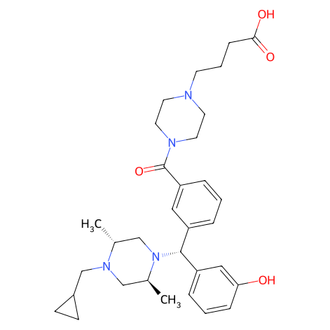 C[C@@H]1CN([C@@H](c2cccc(O)c2)c2cccc(C(=O)N3CCN(CCCC(=O)O)CC3)c2)[C@@H](C)CN1CC1CC1